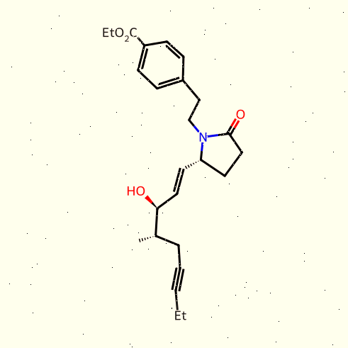 CCC#CC[C@H](C)[C@@H](O)C=C[C@H]1CCC(=O)N1CCc1ccc(C(=O)OCC)cc1